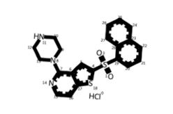 Cl.O=S(=O)(c1cc2c(N3CCNCC3)nccc2s1)c1cccc2ccccc12